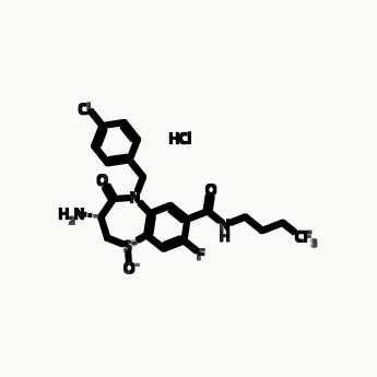 Cl.N[C@H]1C[S+]([O-])c2cc(F)c(C(=O)NCCCC(F)(F)F)cc2N(Cc2ccc(Cl)cc2)C1=O